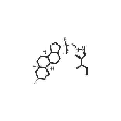 C=CC(C)c1cnn(CC(F)(F)[C@H]2CCC3[C@@H]4CC[C@]5(C)C[C@@H](C)CC[C@@H]5C4CC[C@@]32C)c1